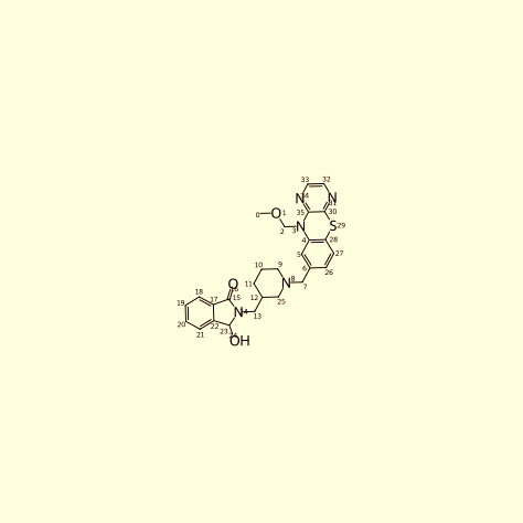 COCN1c2cc(CN3CCCC(CN4C(=O)c5ccccc5C4O)C3)ccc2Sc2nccnc21